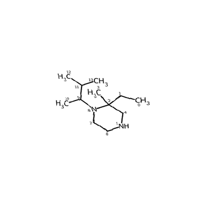 CCC1(C)CNCCN1C(C)C(C)C